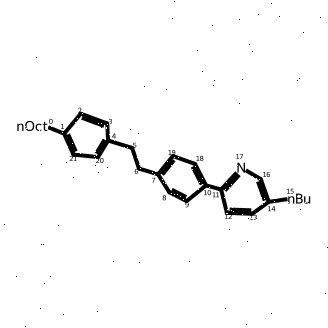 CCCCCCCCc1ccc(CCc2ccc(-c3ccc(CCCC)cn3)cc2)cc1